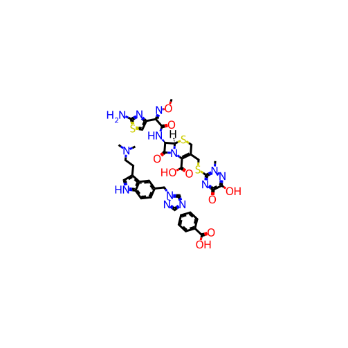 CN(C)CCc1c[nH]c2ccc(Cn3cncn3)cc12.CO/N=C(\C(=O)N[C@@H]1C(=O)N2C(C(=O)O)=C(CSc3nc(=O)c(O)nn3C)CS[C@H]12)c1csc(N)n1.O=C(O)c1ccccc1